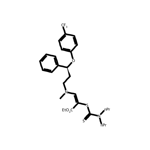 CCCN(CCC)C(=S)S/C(=C/N(C)CC[C@H](Oc1ccc(C(F)(F)F)cc1)c1ccccc1)C(=O)OCC